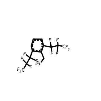 [CH2]C(C)Cc1c(C(F)(F)C(F)(F)C(F)(F)F)cccc1C(F)(F)C(F)(F)C(F)(F)F